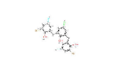 Oc1c(Br)cc(F)cc1Cc1cc(Cl)cc(Cc2cc(F)cc(Br)c2O)c1O